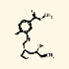 C=C[C@H](O)[C@@H]1CC[C@H]1CNc1cc(C(=O)OC)ccc1F